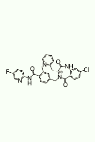 Cc1cc(CN2C(=O)c3ccc(Cl)cc3NC(=O)[C@H]2Cc2ccccn2)ccc1C(=O)Nc1ccc(F)cn1